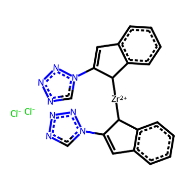 C1=C(n2cnnn2)[CH]([Zr+2][CH]2C(n3cnnn3)=Cc3ccccc32)c2ccccc21.[Cl-].[Cl-]